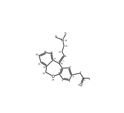 CC(=O)Cc1ccc2c(c1)/C(=C/CCN(C)C)c1ccccc1CO2